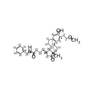 COCCc1cc2c(cc1O)CCC1C2CC[C@]2(C)C(=O)C[C@@H](CCCC(=O)NCc3ccccc3)C12